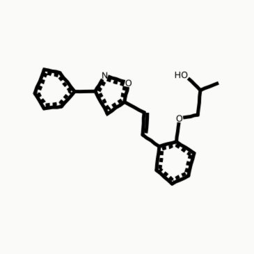 CC(O)COc1ccccc1C=Cc1cc(-c2ccccc2)no1